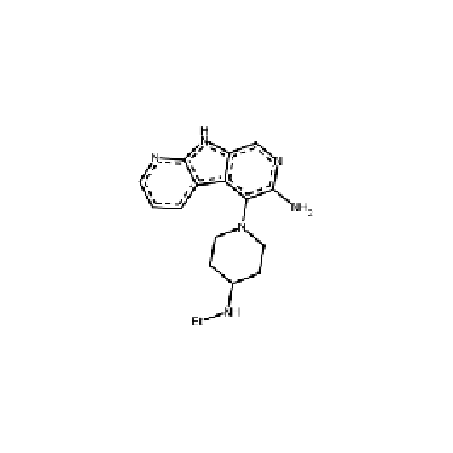 CCNC1CCN(c2c(N)ncc3[nH]c4ncccc4c23)CC1